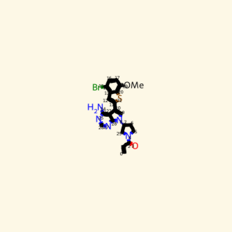 C=CC(=O)N1CC[C@H](n2cc(-c3cc4c(Br)ccc(OC)c4s3)c3c(N)ncnc32)C1